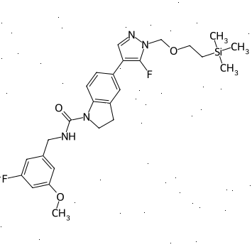 COc1cc(F)cc(CNC(=O)N2CCc3cc(-c4cnn(COCC[Si](C)(C)C)c4F)ccc32)c1